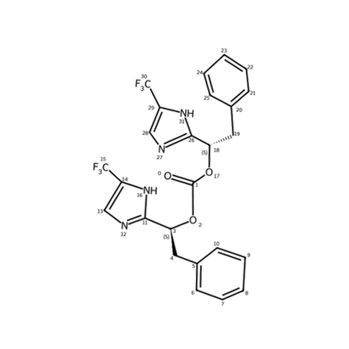 O=C(O[C@@H](Cc1ccccc1)c1ncc(C(F)(F)F)[nH]1)O[C@@H](Cc1ccccc1)c1ncc(C(F)(F)F)[nH]1